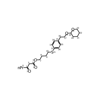 CCCC(=O)CC(=O)OCCCCSc1ccc(CCOC2CCCCO2)cc1